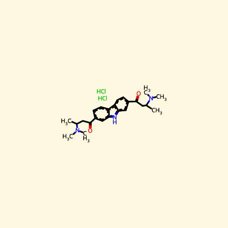 CC(CC(=O)c1ccc2c(c1)[nH]c1cc(C(=O)CC(C)N(C)C)ccc12)N(C)C.Cl.Cl